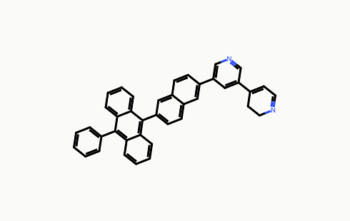 C1=NCCC(c2cncc(-c3ccc4cc(-c5c6ccccc6c(-c6ccccc6)c6ccccc56)ccc4c3)c2)=C1